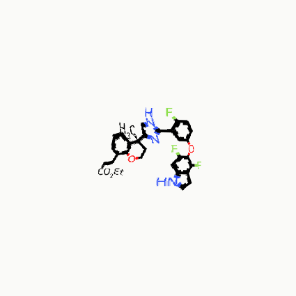 CCOC(=O)/C=C/c1cccc2c1OCC[C@@]2(C)c1c[nH]c(-c2cc(Oc3c(F)cc4[nH]ccc4c3F)ccc2F)n1